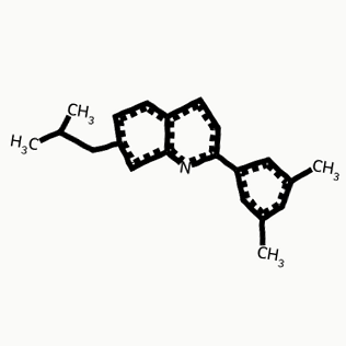 Cc1cc(C)cc(-c2ccc3ccc(CC(C)C)cc3n2)c1